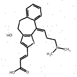 CN(C)CC/C=C1/c2ccccc2CCc2cc(/C=C/C(=O)O)sc21.Cl